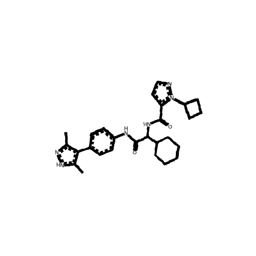 Cc1n[nH]c(C)c1-c1ccc(NC(=O)C(NC(=O)c2ccnn2C2CCC2)C2CCCCC2)cc1